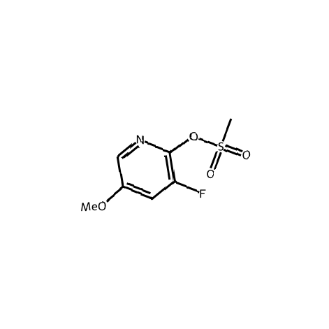 COc1cnc(OS(C)(=O)=O)c(F)c1